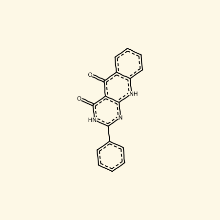 O=c1[nH]c(-c2ccccc2)nc2[nH]c3ccccc3c(=O)c12